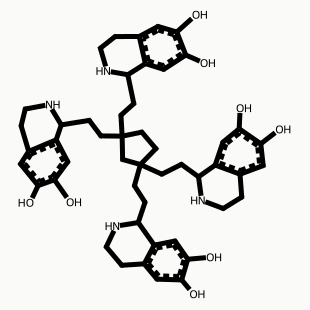 Oc1cc2c(cc1O)C(CCC1(CCC3NCCc4cc(O)c(O)cc43)CCC(CCC3NCCc4cc(O)c(O)cc43)(CCC3NCCc4cc(O)c(O)cc43)C1)NCC2